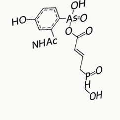 CC(=O)Nc1cc(O)ccc1[As](=O)(O)OC(=O)C=CC[PH](=O)CO